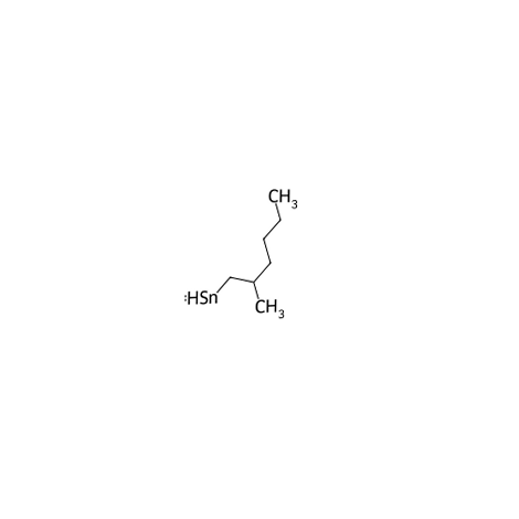 CCCCC(C)[CH2][SnH]